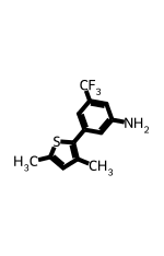 Cc1cc(C)c(-c2cc(N)cc(C(F)(F)F)c2)s1